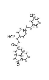 Cl.O=C(CCC1CCN(CCc2cccc(Cl)c2)CC1)c1cc2c3c(c1)CC(=O)N3CCC2